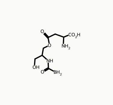 BC(=O)NC(CO)COC(=O)CC(N)C(=O)O